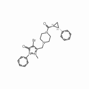 Cn1c(CN2CCN(C(=O)[C@H]3C[C@@H]3c3ccccc3)CC2)c(Br)c(=O)n1-c1ccccc1